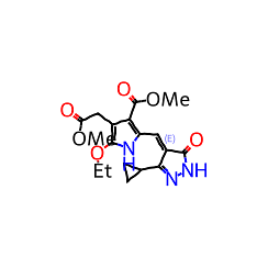 CCOc1[nH]c(/C=C2/C(=O)NN=C2C2CC2)c(C(=O)OC)c1CC(=O)OC